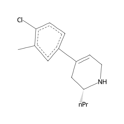 CCC[C@@H]1CC(c2ccc(Cl)c(C)c2)=CCN1